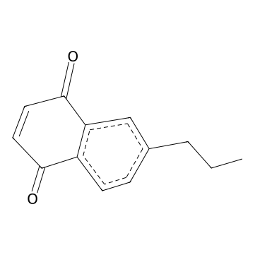 CCCc1ccc2c(c1)C(=O)C=CC2=O